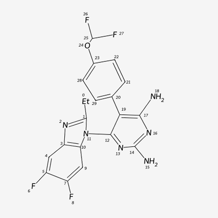 CCc1nc2cc(F)c(F)cc2n1-c1nc(N)nc(N)c1-c1ccc(OC(F)F)cc1